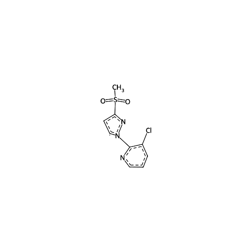 CS(=O)(=O)c1c[c]n(-c2ncccc2Cl)n1